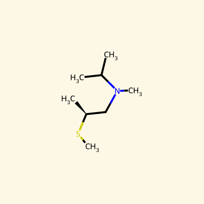 CS[C@@H](C)CN(C)C(C)C